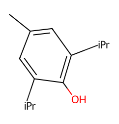 Cc1cc(C(C)C)c(O)c(C(C)C)c1